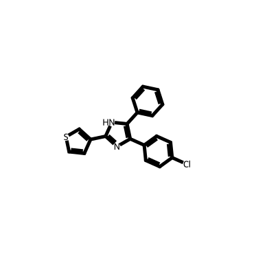 Clc1ccc(-c2nc(-c3ccsc3)[nH]c2-c2ccccc2)cc1